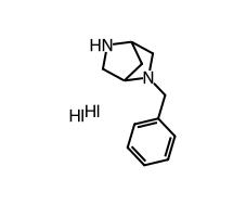 I.I.c1ccc(CN2CC3CC2CN3)cc1